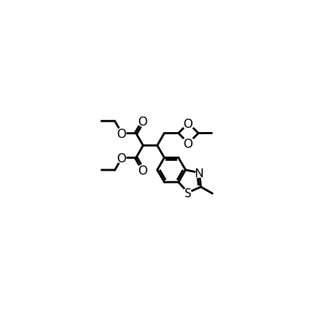 CCOC(=O)C(C(=O)OCC)C(CC1OC(C)O1)c1ccc2sc(C)nc2c1